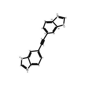 C(#Cc1ccc2ncsc2c1)c1ccc2ncsc2c1